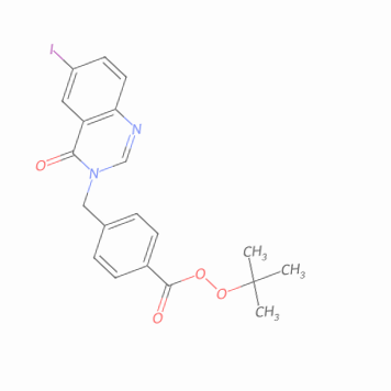 CC(C)(C)OOC(=O)c1ccc(Cn2cnc3ccc(I)cc3c2=O)cc1